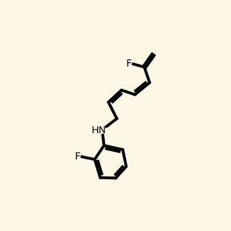 C=C(F)/C=C\C=C/CNc1ccccc1F